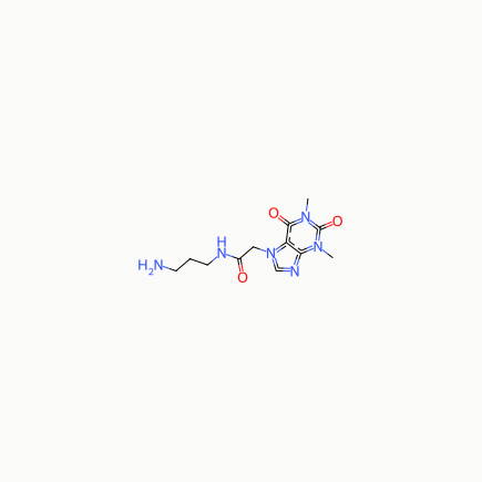 Cn1c(=O)c2c(ncn2CC(=O)NCCCN)n(C)c1=O